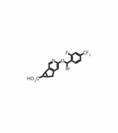 O=C(O)C1C2Cc3cc(OC(Br)c4ccc(C(F)(F)F)cc4F)ncc3C21